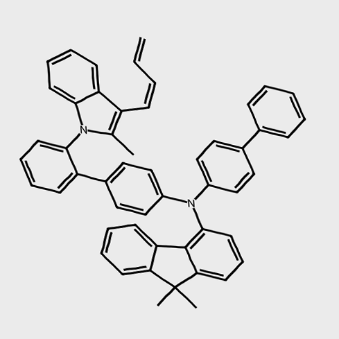 C=C/C=C\c1c(C)n(-c2ccccc2-c2ccc(N(c3ccc(-c4ccccc4)cc3)c3cccc4c3-c3ccccc3C4(C)C)cc2)c2ccccc12